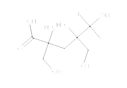 CCC(C)(CC(C)(CC)C(O)(I)I)C(=O)O